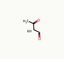 CC(=O)CC=O.[KH]